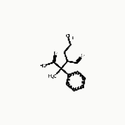 CCCC(C=O)C(C)(C(=O)O)c1ccccc1